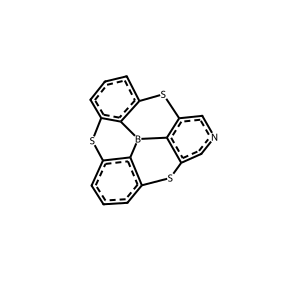 c1cc2c3c(c1)Sc1cncc4c1B3c1c(cccc1S4)S2